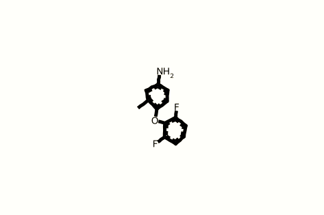 Cc1cc(N)ccc1Oc1c(F)cccc1F